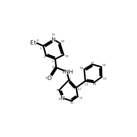 CCc1cc(C(=O)Nc2cnccc2-c2ccccc2)ccn1